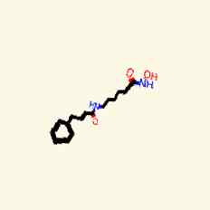 O=C(/C=C/Cc1ccccc1)NCCCCCC(=O)NO